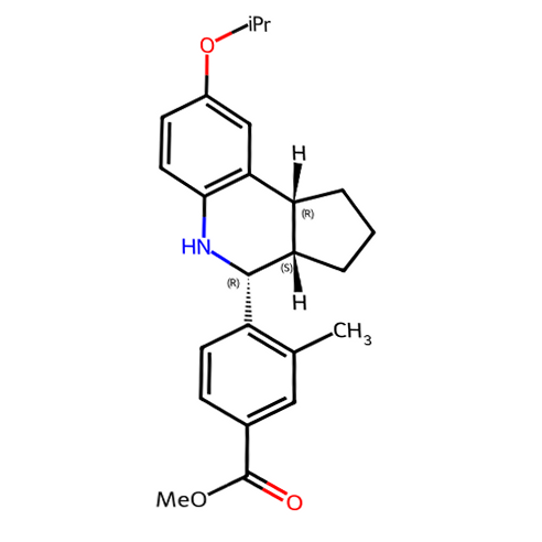 COC(=O)c1ccc([C@@H]2Nc3ccc(OC(C)C)cc3[C@@H]3CCC[C@@H]32)c(C)c1